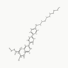 CCCCCCCCCCCc1ccc(-c2cnc(-c3ccc(OC(C)C(=O)OCCC)cc3)nc2)cc1